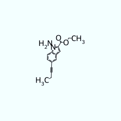 CCC#Cc1ccc2c(c1)cc(C(=O)OCC)n2N